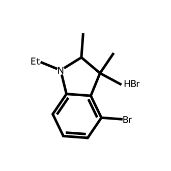 Br.CCN1c2cccc(Br)c2C(C)(C)C1C